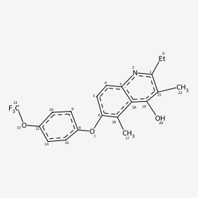 CCc1nc2ccc(Oc3ccc(OC(F)(F)F)cc3)c(C)c2c(O)c1C